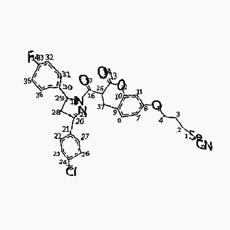 N#C[Se]CCCOc1ccc2c(c1)OC(=O)C(C(=O)N1N=C(c3ccc(Cl)cc3)CC1c1ccc(F)cc1)C2